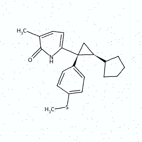 CSc1ccc([C@@]2(c3ccc(C)c(=O)[nH]3)C[C@H]2C2CCCC2)cc1